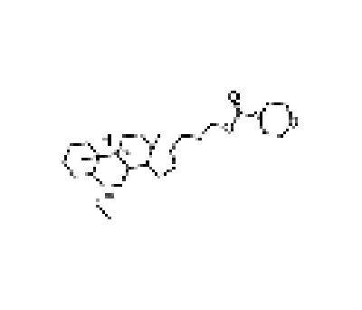 CC[C@H]1CC2C3CCC(CCCOC(=O)N4CCOCC4)C3(C)CC[C@@H]2C2(C)CCCCC12